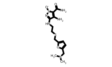 CN(C)Cc1ccc(CSCCNc2n[s+]([O-])c(C(N)=O)c2N)o1